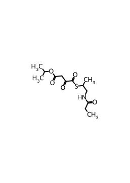 CCC(=O)NCC(C)SC(=O)C(=O)CC(=O)OC(C)C